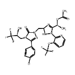 CC(=O)O[C@@H](C)C1=NC(Cn2nc(-c3ccc(Cl)cc3)n(C[C@H](O)C(F)(F)F)c2=O)NN1c1ncccc1OC(F)(F)F